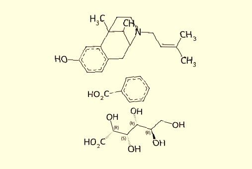 CC(C)=CCN1CCC2(C)c3cc(O)ccc3CC1C2C.O=C(O)[C@H](O)[C@@H](O)[C@H](O)[C@H](O)CO.O=C(O)c1ccccc1